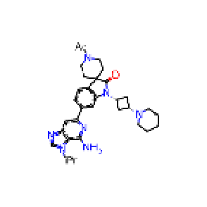 CC(=O)N1CCC2(CC1)C(=O)N([C@H]1C[C@@H](N3CCCCC3)C1)c1cc(-c3cc4ncn(C(C)C)c4c(N)n3)ccc12